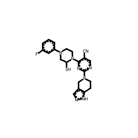 N#Cc1cnc(N2CCc3[nH]ncc3C2)nc1N1CCN(c2cccc(F)c2)CC1S